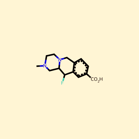 CN1CCN2Cc3ccc(C(=O)O)cc3C(F)C2C1